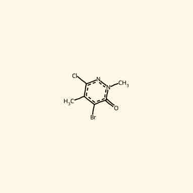 Cc1c(Cl)nn(C)c(=O)c1Br